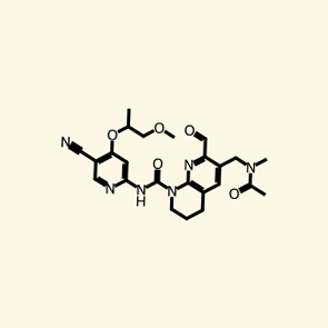 COCC(C)Oc1cc(NC(=O)N2CCCc3cc(CN(C)C(C)=O)c(C=O)nc32)ncc1C#N